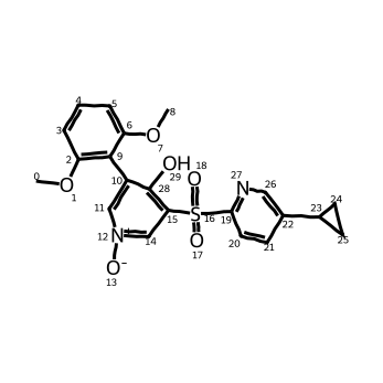 COc1cccc(OC)c1-c1c[n+]([O-])cc(S(=O)(=O)c2ccc(C3CC3)cn2)c1O